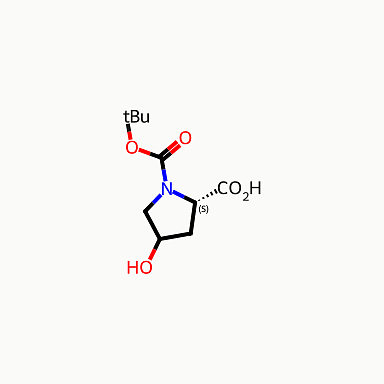 CC(C)(C)OC(=O)N1CC(O)C[C@H]1C(=O)O